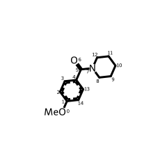 [CH2]Oc1ccc(C(=O)N2CCCCC2)cc1